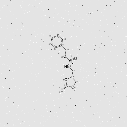 O=C(NCC1CO[S@](=O)O1)OCc1ccccc1